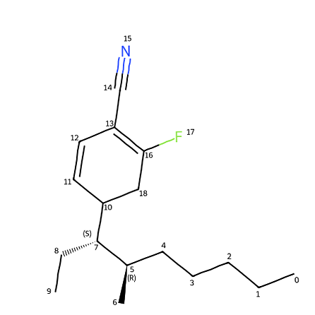 CCCCC[C@@H](C)[C@H](CC)C1C=CC(C#N)=C(F)C1